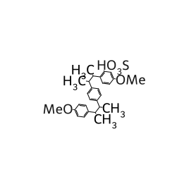 COc1ccc(C(C)C(C)c2ccc(C(C)C(C)c3ccc(OC)cc3S(=O)(=O)O)cc2)cc1